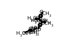 CNCCCC(C)(C)[Si](C)(C)CCCNC(=O)c1ccc(C(C)(N=NC(C)(OC(C)=O)c2ccc(C(C)=O)cc2)OC(C)=O)cc1